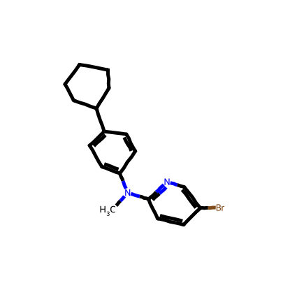 CN(c1ccc(C2CCCCC2)cc1)c1ccc(Br)cn1